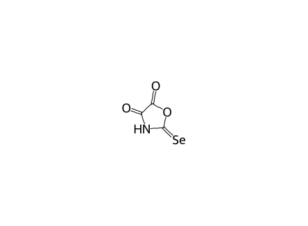 O=C1NC(=[Se])OC1=O